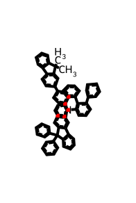 CC1(C)c2ccccc2-c2ccc(-c3ccc(N(c4ccc5c(c4)-c4ccccc4C5(c4ccccc4)c4ccccc4)c4cccc(-c5ccccc5)c4-c4ccccc4-c4ccccc4)cc3)cc21